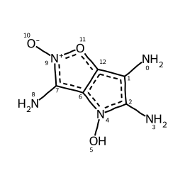 Nc1c(N)n(O)c2c(N)[n+]([O-])oc12